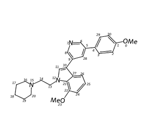 COc1ccc(-c2cncc(-c3cn(CCN4CCCCC4)c4c(OC)cccc34)c2)cc1